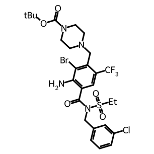 CCS(=O)(=O)N(Cc1cccc(Cl)c1)C(=O)c1cc(C(F)(F)F)c(CN2CCN(C(=O)OC(C)(C)C)CC2)c(Br)c1N